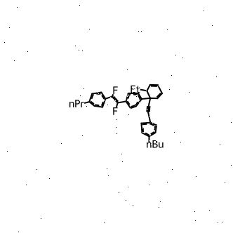 CCCCc1ccc(C#CC2(c3ccc(/C(F)=C(\F)c4ccc(CCC)cc4)cc3)C=CC=CC2CC)cc1